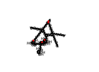 COCCOCCOCCCc1c(OCCOCCOCCOC)cc(COc2cc(OCc3cc(OCCOCCOCCOC)c(OCCOCCOCCOC)c(OCCOCCOCCOC)c3)cc(C(=O)NCCCNC(=O)C(CCCNC(=O)c3cccc(O)c3O)(CCCNC(=O)c3cccc(O)c3O)CCCNC(=O)c3cccc(O)c3O)c2)cc1OCCOCCOCCOC